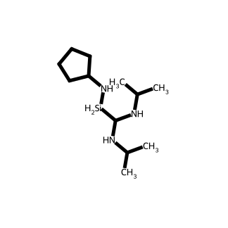 CC(C)NC(NC(C)C)[SiH2]NC1CCCC1